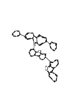 c1ccc(-c2ccc3c4ccc(-c5ccccc5)cc4n(-c4cccc5c4oc4cc(-c6cccc7c6oc6ccccc67)ccc45)c3c2)cc1